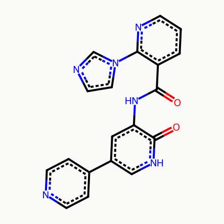 O=C(Nc1cc(-c2ccncc2)c[nH]c1=O)c1cccnc1-n1ccnc1